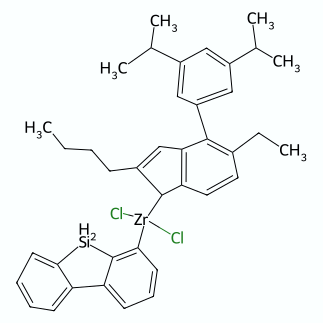 CCCCC1=Cc2c(ccc(CC)c2-c2cc(C(C)C)cc(C(C)C)c2)[CH]1[Zr]([Cl])([Cl])[c]1cccc2c1[SiH2]c1ccccc1-2